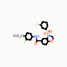 CCOC(=O)c1ccc(NC(=O)c2ccc3c(c2)N(S(=O)(=O)c2cccc(F)c2)CCO3)cc1F